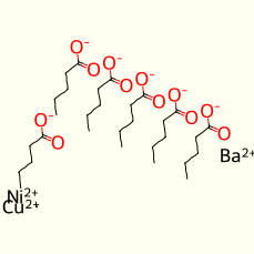 CCCCC(=O)[O-].CCCCC(=O)[O-].CCCCC(=O)[O-].CCCCC(=O)[O-].CCCCC(=O)[O-].CCCCC(=O)[O-].[Ba+2].[Cu+2].[Ni+2]